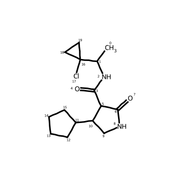 CC(NC(=O)C1C(=O)NCC1C1CCCC1)C1(Cl)CC1